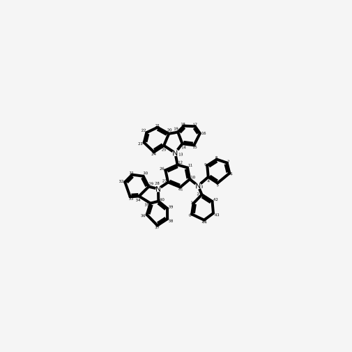 C1=CC(N(c2ccccc2)c2cc(-n3c4ccccc4c4ccccc43)cc(-n3c4ccccc4c4ccccc43)c2)=CCC1